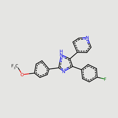 Fc1ccc(-c2nc(-c3ccc(OC(F)(F)F)cc3)[nH]c2-c2ccncc2)cc1